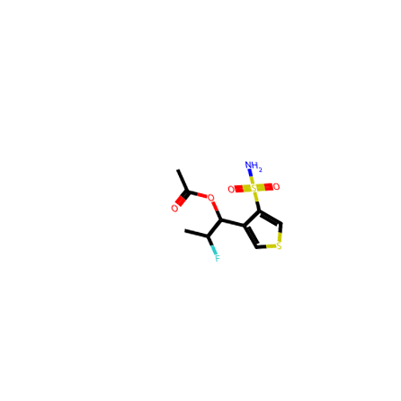 CC(=O)OC(c1cscc1S(N)(=O)=O)C(C)F